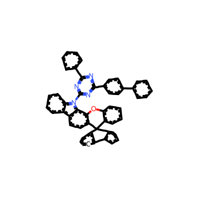 c1ccc(-c2ccc(-c3nc(-c4ccccc4)nc(-n4c5ccccc5c5ccc6c(c54)Oc4ccccc4C64c5ccccc5-c5ccccc54)n3)cc2)cc1